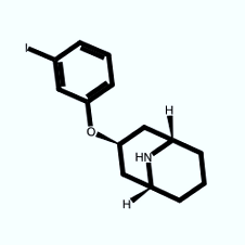 Ic1cccc(O[C@@H]2C[C@H]3CCC[C@@H](C2)N3)c1